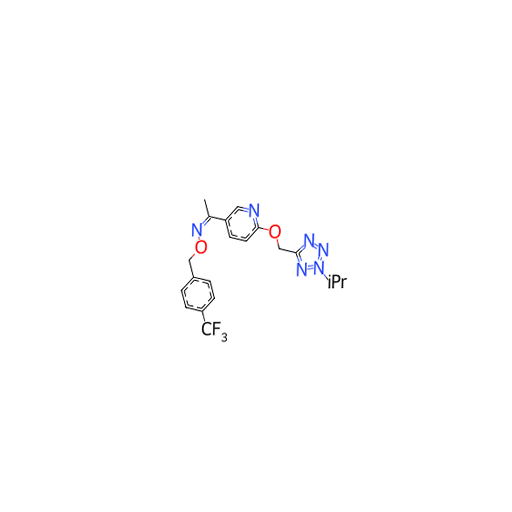 CC(=NOCc1ccc(C(F)(F)F)cc1)c1ccc(OCc2nnn(C(C)C)n2)nc1